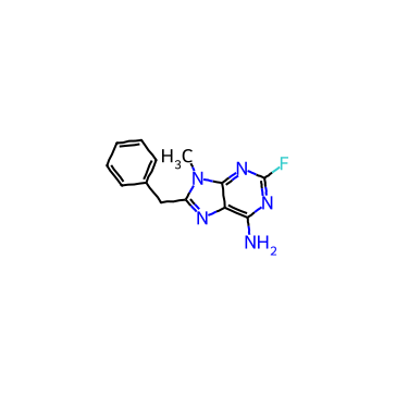 Cn1c(Cc2ccccc2)nc2c(N)nc(F)nc21